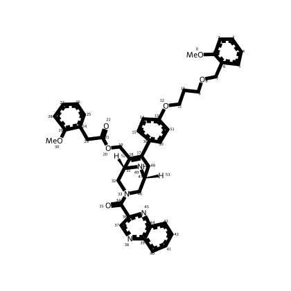 COc1ccccc1COCCCOc1ccc(C2=C(COC(=O)Cc3ccccc3OC)[C@H]3CN(C(=O)c4cnc5ccccc5n4)C[C@@H](C2)N3)cc1